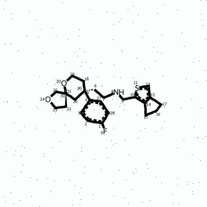 Fc1ccc([C@]2(CCNCc3scc4c3CCC4)CCO[C@]3(CCOC3)C2)cc1